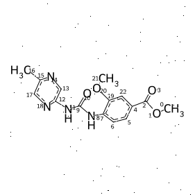 COC(=O)c1ccc(NC(=O)Nc2cnc(C)cn2)c(OC)c1